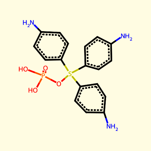 Nc1ccc(S(OP(=O)(O)O)(c2ccc(N)cc2)c2ccc(N)cc2)cc1